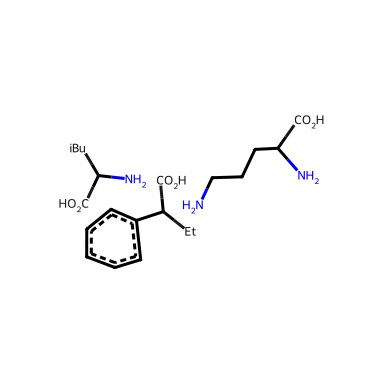 CCC(C(=O)O)c1ccccc1.CCC(C)C(N)C(=O)O.NCCCC(N)C(=O)O